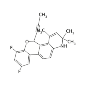 CC#CC1Oc2c(F)cc(F)cc2-c2ccc3c(c21)C(C)=CC(C)(C)N3